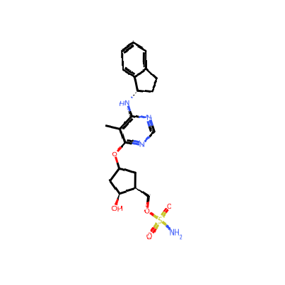 Cc1c(N[C@H]2CCc3ccccc32)ncnc1OC1C[C@@H](COS(N)(=O)=O)[C@@H](O)C1